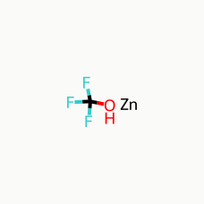 OC(F)(F)F.[Zn]